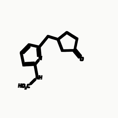 O=C1CCC(Cc2cccc(NC(=O)O)n2)C1